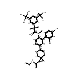 C=C(OCC)C1CC12CC=C(c1cc(-c3ccc(F)cc3C)c(N(C)C(=O)C(C)(C)c3cc(C(F)(F)F)cc(C(F)(F)F)c3)cn1)CC2